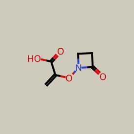 C=C(ON1CCC1=O)C(=O)O